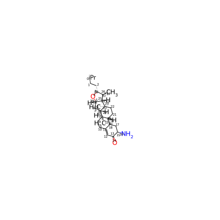 CC(C)CC[C@H]1O[C@H]2C[C@H]3[C@@H]4CCC5=CC(=O)C(N)C[C@]5(C)[C@H]4CC[C@]3(C)[C@H]2[C@@H]1C